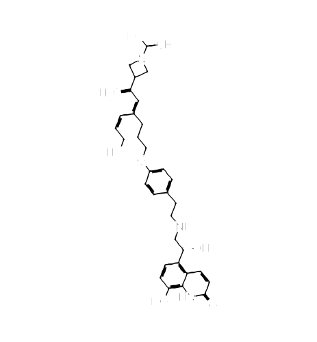 C=C(/C=C(\C=C/CO)CCCOc1ccc(CCNC[C@H](O)c2ccc(O)c3[nH]c(=O)ccc23)cc1)C1CN(C(C)C)C1